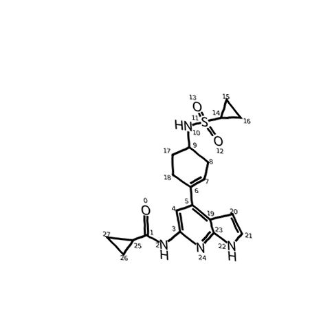 O=C(Nc1cc(C2=CCC(NS(=O)(=O)C3CC3)CC2)c2cc[nH]c2n1)C1CC1